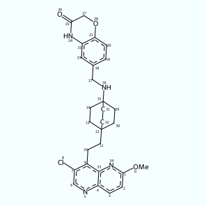 COc1ccc2ncc(Cl)c(CCC34CCC(NCc5ccc6c(c5)NC(=O)CO6)(CC3)CC4)c2n1